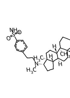 CN(CCc1ccc(S(N)(=O)=O)cc1)[C@H]1CC[C@H]2[C@@H]3CC[C@H]4CCCC[C@]4(C)[C@H]3CC[C@]12C